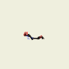 CCC(CC)(CC(=O)Nc1cccc(C=Cc2cccc(CCCCCCc3ccc(OCCC(C)C)cc3)n2)c1)C(=O)O